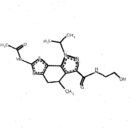 CC(=O)Nc1nc2c(s1)-c1c(c(C(=O)NCCO)nn1C(C)C)C(C)C2